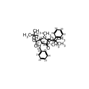 CN(C(=O)OC(C)(C)C)[C@](CC(C)(C)C)(C(=O)O)[C@@H](Cc1ccccc1)C(=O)OCc1ccccc1